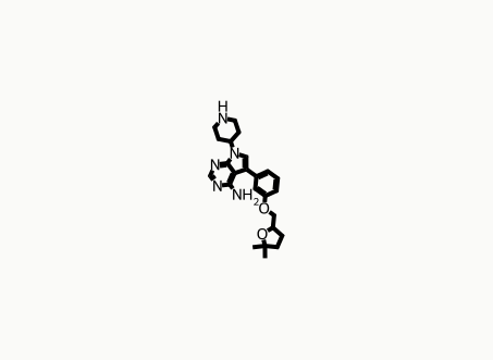 CC1(C)CCC(COc2cccc(-c3cn(C4CCNCC4)c4ncnc(N)c34)c2)O1